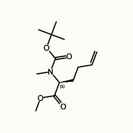 C=CCC[C@@H](C(=O)OC)N(C)C(=O)OC(C)(C)C